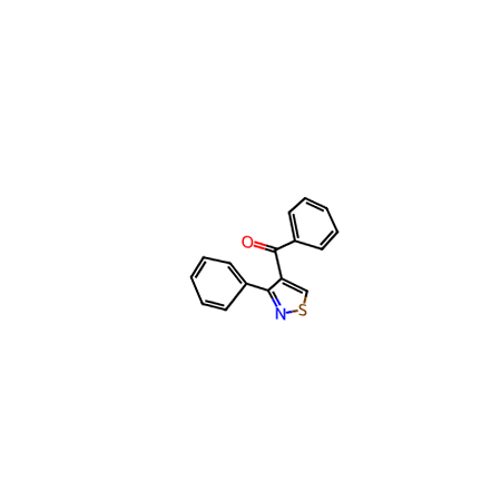 O=C(c1ccccc1)c1csnc1-c1ccccc1